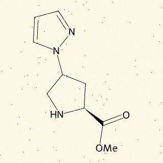 COC(=O)[C@@H]1CC(n2cccn2)CN1